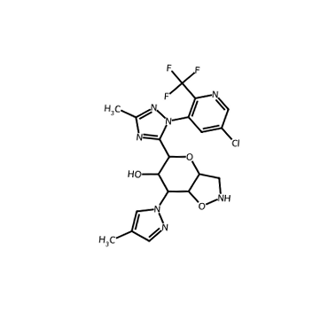 Cc1cnn(C2C(O)C(c3nc(C)nn3-c3cc(Cl)cnc3C(F)(F)F)OC3CNOC32)c1